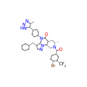 Cc1nn[nH]c1-c1ccc(-n2c(=O)c3c(n4ncc(Cc5ccccc5)c24)CN(C(=O)c2ccc(Br)c(C(F)(F)F)c2)[C@@H](C)C3)cc1